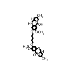 C=C1C[C@H]2C=Nc3cc(OCCCCCOc4cc5c(cc4OC)C(O)N4CC(=C)C[C@H]4CN5)c(OC)cc3C(=O)N2C1